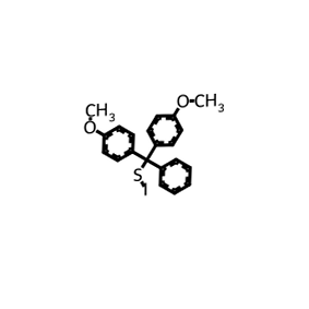 COc1ccc(C(SI)(c2ccccc2)c2ccc(OC)cc2)cc1